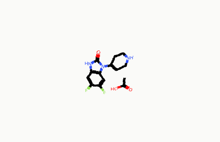 CC(=O)O.O=c1[nH]c2cc(F)c(F)cc2n1C1CCNCC1